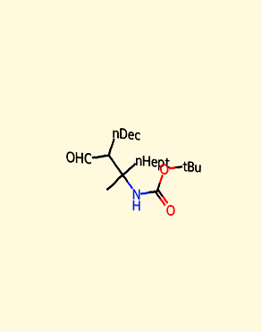 CCCCCCCCCCC(C=O)C(C)(CCCCCCC)NC(=O)OC(C)(C)C